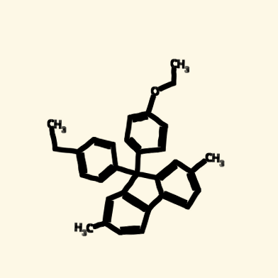 CCOc1ccc(C2(c3ccc(CC)cc3)c3cc(C)ccc3-c3ccc(C)cc32)cc1